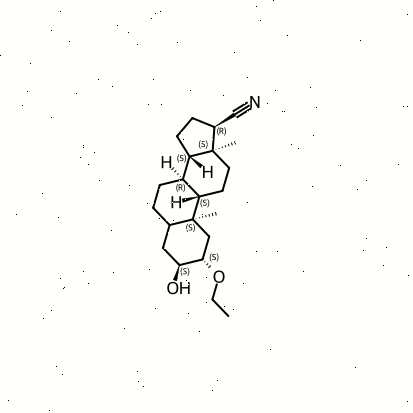 CCO[C@H]1C[C@@]2(C)C(CC[C@H]3[C@@H]4CC[C@@H](C#N)[C@@]4(C)CC[C@@H]32)C[C@@H]1O